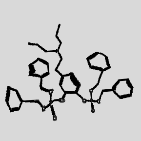 CCCN(CCC)CCc1ccc(OP(=O)(OCc2ccccc2)OCc2ccccc2)c(OP(=O)(OCc2ccccc2)OCc2ccccc2)c1